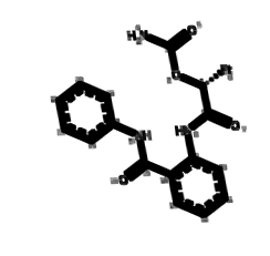 CC[C@@H](OC(N)=O)C(=O)Nc1ccccc1C(=O)Nc1ccccc1